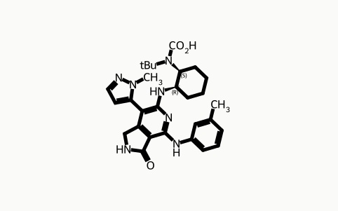 Cc1cccc(Nc2nc(N[C@@H]3CCCC[C@@H]3N(C(=O)O)C(C)(C)C)c(-c3ccnn3C)c3c2C(=O)NC3)c1